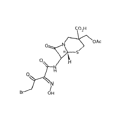 CC(=O)OCC1(C(=O)O)CS[C@@H]2C(NC(=O)C(=NO)C(=O)CBr)C(=O)N2C1